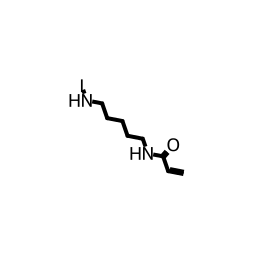 C=CC(=O)NCCCCCNI